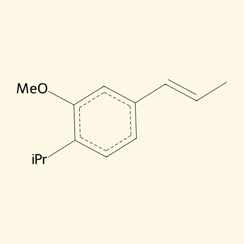 CC=Cc1ccc(C(C)C)c(OC)c1